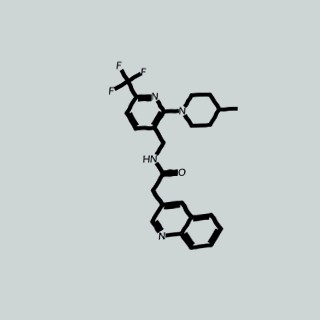 CC1CCN(c2nc(C(F)(F)F)ccc2CNC(=O)Cc2cnc3ccccc3c2)CC1